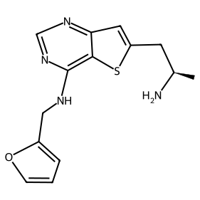 C[C@@H](N)Cc1cc2ncnc(NCc3ccco3)c2s1